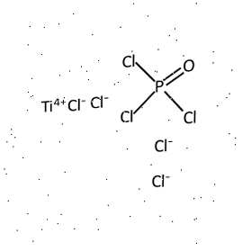 O=P(Cl)(Cl)Cl.[Cl-].[Cl-].[Cl-].[Cl-].[Ti+4]